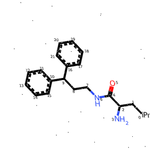 CC(C)CC(N)C(=O)NCCC(c1ccccc1)c1ccccc1